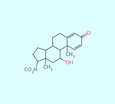 CC12C=CC(=O)C=C1CCC1C2C(O)CC2(C)C(C(=O)O)CCC12